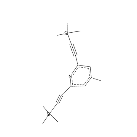 Cc1cc(C#C[Si](C)(C)C)nc(C#C[Si](C)(C)C)c1